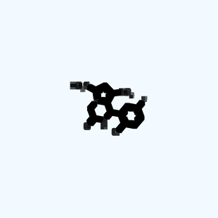 O=C1Cn2c(C(=O)O)cc([N+](=O)[O-])c2C(c2cc(F)ccc2Cl)N1